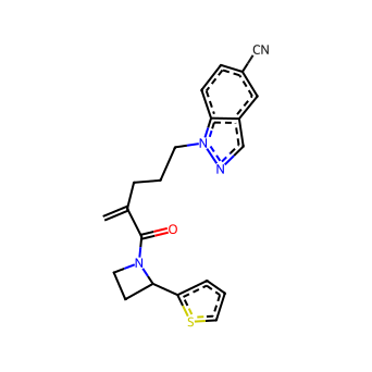 C=C(CCCn1ncc2cc(C#N)ccc21)C(=O)N1CCC1c1cccs1